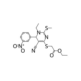 CCOC(=O)CSC1=C(C#N)C(c2cccc([N+](=O)[O-])c2)N(CC)C(SC)=N1